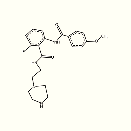 COc1ccc(C(=O)Nc2cccc(F)c2C(=O)NCCN2CCNCC2)cc1